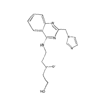 [O-][S+](CCO)CCNc1nc(Cn2ccnc2)nc2ccccc12